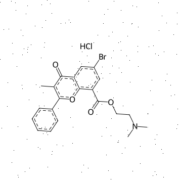 Cc1c(-c2ccccc2)oc2c(C(=O)OCCN(C)C)cc(Br)cc2c1=O.Cl